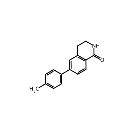 Cc1ccc(-c2ccc3c(c2)CCNC3=O)cc1